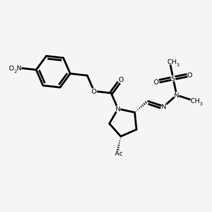 CC(=O)[C@H]1C[C@@H](C=NN(C)S(C)(=O)=O)N(C(=O)OCc2ccc([N+](=O)[O-])cc2)C1